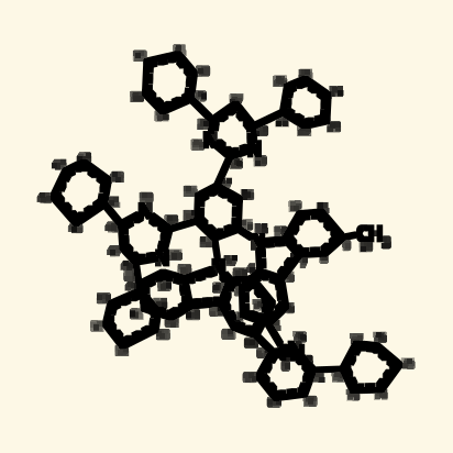 Cc1ccc2c(c1)c1cc(C)ccc1n2-c1cc(-c2nc(-c3ccccc3)cc(-c3ccccc3)n2)cc(-c2nc(-c3ccccc3)cc(-c3ccccc3)n2)c1-n1c2ccccc2c2cc(-c3cccc(-c4ccccc4)n3)ccc21